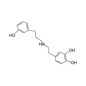 Oc1cccc(CCCNCCc2ccc(O)c(O)c2)c1